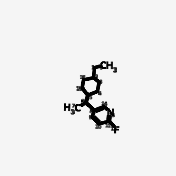 CCC1CCC(C(C)c2ccc(F)nc2)CC1